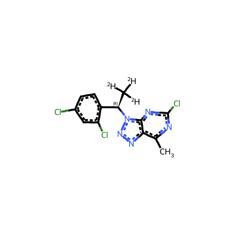 [2H]C([2H])([2H])[C@H](c1ccc(Cl)cc1Cl)n1nnc2c(C)nc(Cl)nc21